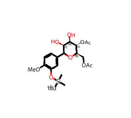 COc1ccc(C2O[C@H](COC(C)=O)[C@@H](OC(C)=O)[C@H](O)[C@@H]2O)cc1O[Si](C)(C)C(C)(C)C